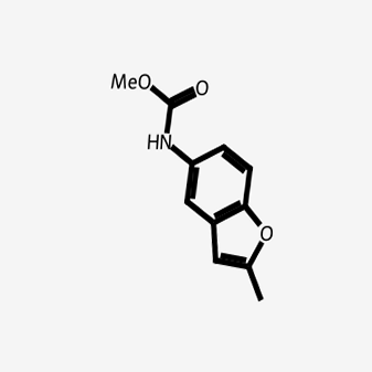 COC(=O)Nc1ccc2oc(C)cc2c1